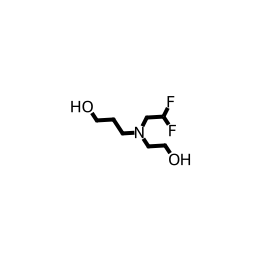 OCCCN(CCO)CC(F)F